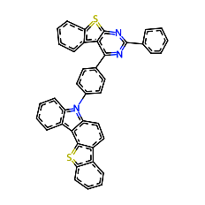 c1ccc(-c2nc(-c3ccc(-n4c5ccccc5c5c6sc7ccccc7c6ccc54)cc3)c3c(n2)sc2ccccc23)cc1